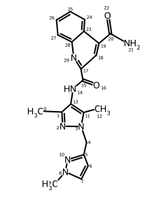 Cc1nn(Cc2ccn(C)n2)c(C)c1NC(=O)c1cc(C(N)=O)c2ccccc2n1